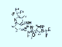 Cc1c(C(F)(F)F)nc2c(c1NC(=O)N=S(N)(=O)c1cnn(C(F)F)c1)CCC2